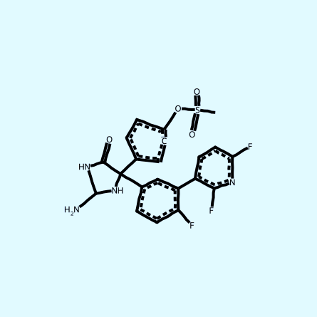 CS(=O)(=O)Oc1ccc(C2(c3ccc(F)c(-c4ccc(F)nc4F)c3)NC(N)NC2=O)cc1